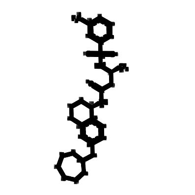 O=C(C[C@@H](NS(=O)(=O)c1cccc(C(F)(F)F)c1)C(F)(F)F)N[C@@H]1CCCc2cc(CN3CCCCCC3)ccc21